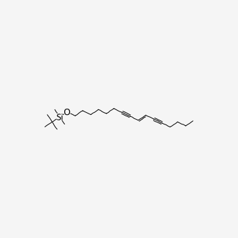 CCCCC#CC=CC#CCCCCCCO[Si](C)(C)C(C)(C)C